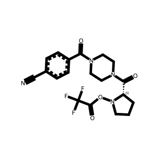 N#Cc1ccc(C(=O)N2CCN(C(=O)[C@@H]3CCCN3OC(=O)C(F)(F)F)CC2)cc1